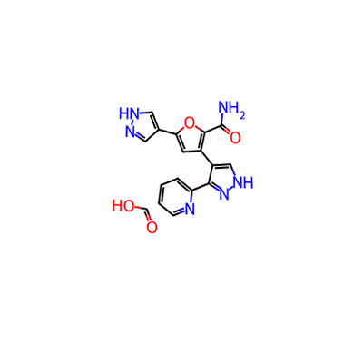 NC(=O)c1oc(-c2cn[nH]c2)cc1-c1c[nH]nc1-c1ccccn1.O=CO